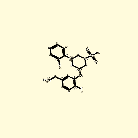 CS(=O)(=O)N1C[C@@H](Oc2cc(CN)ccc2F)C[C@@H](c2ccccc2F)C1